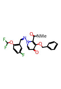 CNC(=O)c1c(OCc2ccccc2)c(=O)ccn1/N=C\c1cc(F)ccc1OC(F)F